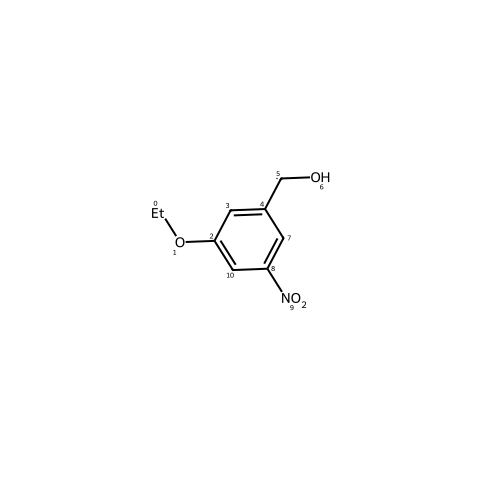 CCOc1cc([CH]O)cc([N+](=O)[O-])c1